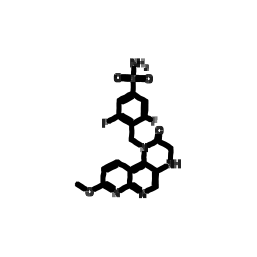 COc1ccc2c3c(cnc2n1)NCC(=O)N3Cc1c(F)cc(S(N)(=O)=O)cc1F